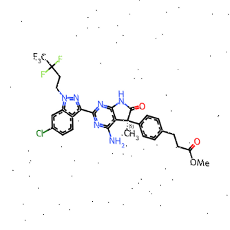 COC(=O)CCc1ccc([C@]2(C)C(=O)Nc3nc(-c4nn(CCC(F)(F)C(F)(F)F)c5cc(Cl)ccc45)nc(N)c32)cc1